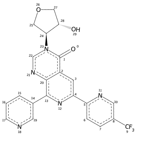 O=c1c2cc(-c3ccc(C(F)(F)F)cn3)nc(-c3cccnc3)c2ncn1[C@H]1COC[C@@H]1O